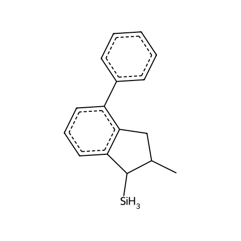 CC1Cc2c(-c3ccccc3)cccc2C1[SiH3]